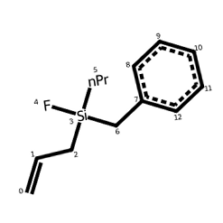 C=CC[Si](F)(CCC)Cc1ccccc1